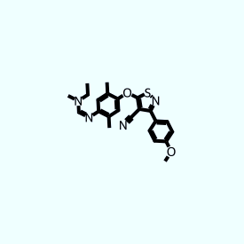 CCN(C)/C=N\c1cc(C)c(Oc2snc(-c3ccc(OC)cc3)c2C#N)cc1C